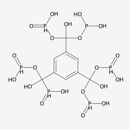 O=[PH](O)OC(O)(OP(O)O)c1cc(C(O)(O[PH](=O)O)O[PH](=O)O)cc(C(O)(O[PH](=O)O)[PH](=O)O)c1